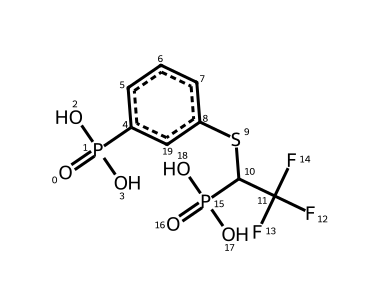 O=P(O)(O)c1cccc(SC(C(F)(F)F)P(=O)(O)O)c1